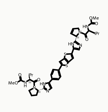 COC(=O)NC(C(=O)N1CC=C[C@H]1c1ncc(-c2cc3sc(-c4ccc(-c5cnc([C@@H]6CCCN6C(=O)[C@@H](NC(=O)OC)C(C)C)[nH]5)cc4)cc3s2)[nH]1)C(C)C